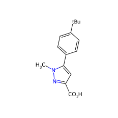 Cn1nc(C(=O)O)cc1-c1ccc(C(C)(C)C)cc1